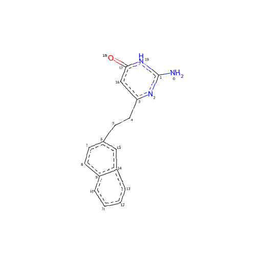 Nc1nc(CCc2ccc3ccccc3c2)cc(=O)[nH]1